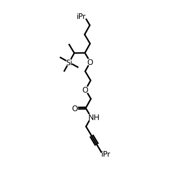 CC(C)C#CCNC(=O)COCCOC(CCCC(C)C)C(C)[Si](C)(C)C